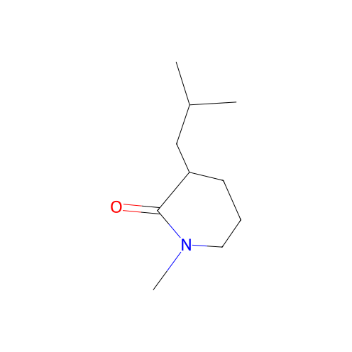 CC(C)CC1CCCN(C)C1=O